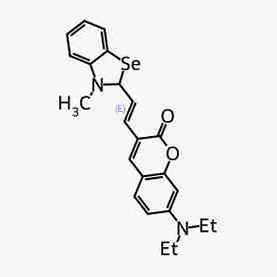 CCN(CC)c1ccc2cc(/C=C/C3[Se]c4ccccc4N3C)c(=O)oc2c1